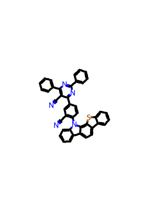 N#Cc1cc(-c2nc(-c3ccccc3)nc(-c3ccccc3)c2C#N)ccc1-n1c2ccccc2c2ccc3c4ccccc4sc3c21